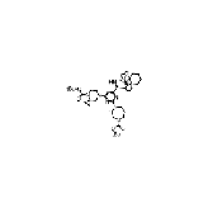 C[C@H]1CN(C(=O)OC(C)(C)C)CCCN1c1nc(C(=N)C2CCC[C@@]3(CCCCC34OCCO4)C2=O)cc(N2CCN(C(=O)OC(C)(C)C)C3(CC3)C2)n1